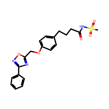 CS(=O)(=O)NC(=O)CCCc1ccc(OCc2nc(-c3ccccc3)no2)cc1